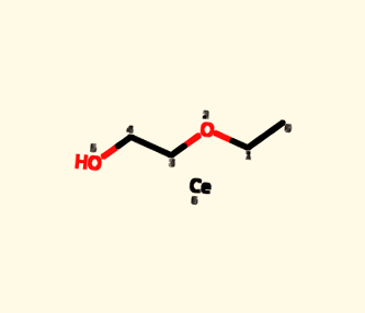 CCOCCO.[Ce]